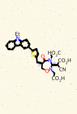 CCn1c2ccccc2c2cc(-c3ccc(/C=C4/CON(CC(=O)O)/C(=C(\C#N)C(=O)O)N(CC(=O)O)C4=O)s3)ccc21